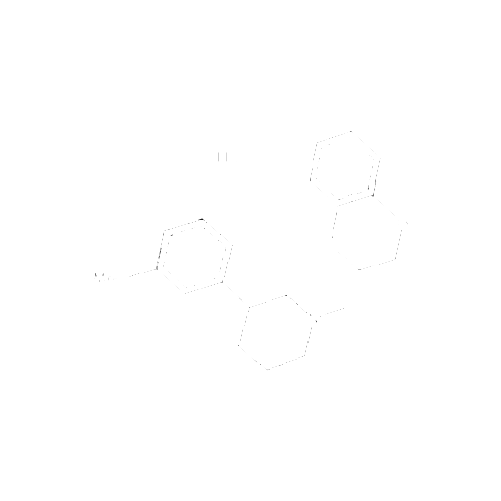 COc1cccc(C2CCCN(C[C@H]3COc4ccccc4O3)C2)c1.Cl